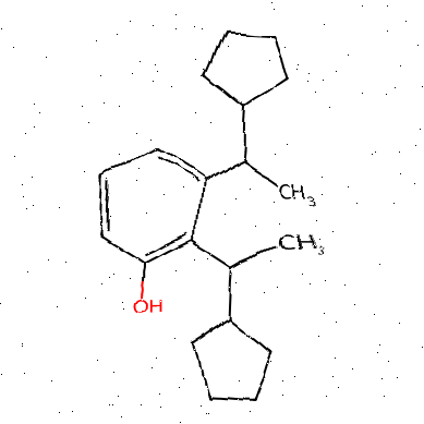 CC(c1cccc(O)c1C(C)C1CCCC1)C1CCCC1